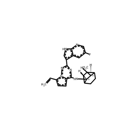 C=Cc1ccc2c(N[C@H]3C4CCC(CC4)[C@@H]3C(=O)O)nc(-c3c[nH]c4ncc(F)cc34)nn12